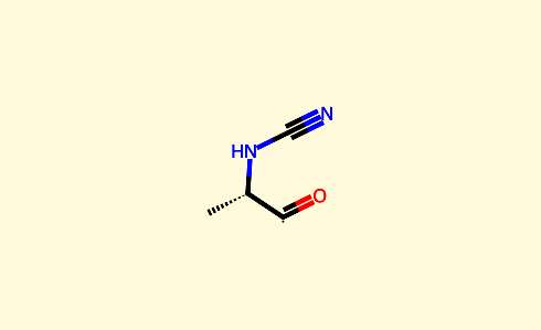 C[C@@H]([C]=O)NC#N